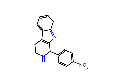 O=[N+]([O-])c1ccc(C2NCCC3=C2N=C2CC=CC=C23)cc1